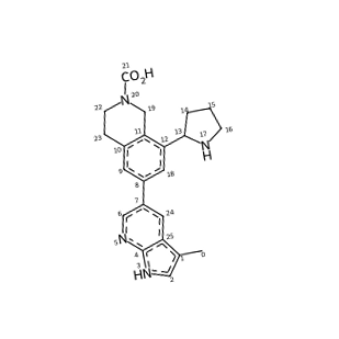 Cc1c[nH]c2ncc(-c3cc4c(c(C5CCCN5)c3)CN(C(=O)O)CC4)cc12